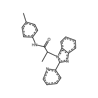 Cc1ccc(NC(=O)C(C)n2c(-c3ccccn3)nc3ccccc32)cc1